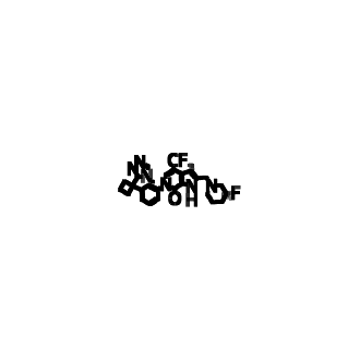 Cn1cnnc1C1(c2cccc(-n3cc(C(F)(F)F)c4cc(CN5CCC[C@@H](F)C5)[nH]c4c3=O)c2)CCC1